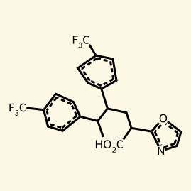 CC(c1ccc(C(F)(F)F)cc1)C(CC(C(=O)O)c1ncco1)c1ccc(C(F)(F)F)cc1